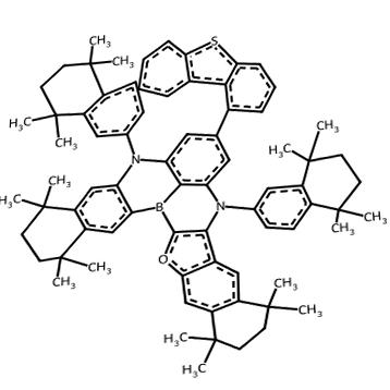 CC1(C)CCC(C)(C)c2cc(N3c4cc5c(cc4B4c6oc7cc8c(cc7c6N(c6ccc7c(c6)C(C)(C)CCC7(C)C)c6cc(-c7cccc9sc%10ccccc%10c79)cc3c64)C(C)(C)CCC8(C)C)C(C)(C)CCC5(C)C)ccc21